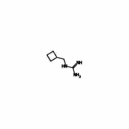 N=C(N)NCC1CCC1